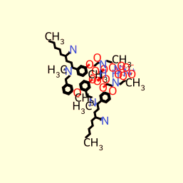 CCCCCCC(C#N)CCC(c1cccc(OC(OC(=O)C(=O)OC(Oc2cccc(C(CCC(C#N)CCCCCC)N(C)CCc3cccc(OC)c3)c2)C(=O)NCC(C)O[N+](=O)[O-])C(=O)NCC(C)O[N+](=O)[O-])c1)N(C)CCc1cccc(OC)c1